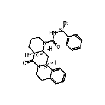 CC[C@@H](NC(=O)N1CCC[C@@H]2C(=O)N3CCc4ccccc4[C@@H]3C[C@@H]21)c1ccccc1